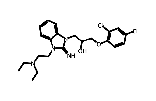 CCN(CC)CCn1c(=N)n(CC(O)COc2ccc(Cl)cc2Cl)c2ccccc21